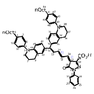 CCCCCCCCc1ccc(N2CCCc3cc(C(=C/C=C/C=C4\C(=O)N(c5ccccc5)N=C4C(=O)O)c4ccc5c(c4)CCCN5c4ccc(CCCCCCCC)cc4)ccc32)cc1